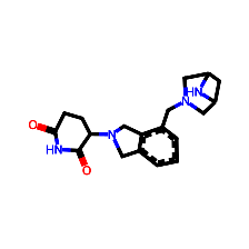 O=C1CCC(N2Cc3cccc(CN4CC5CC(C4)N5)c3C2)C(=O)N1